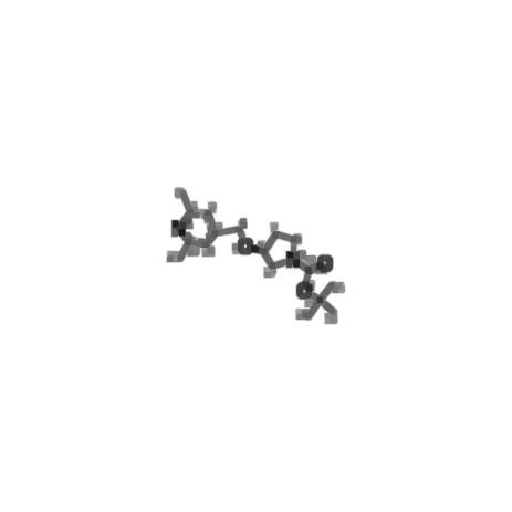 Cc1cc(CO[C@H]2CCN(C(=O)OC(C)(C)C)C2)cc(C)n1